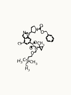 CC1(N(COCC[Si](C)(C)C)S(=O)(=O)c2cc(Cl)c3cnn(C4CCN(C(=O)OCc5ccccc5)C4)c3c2)CC1